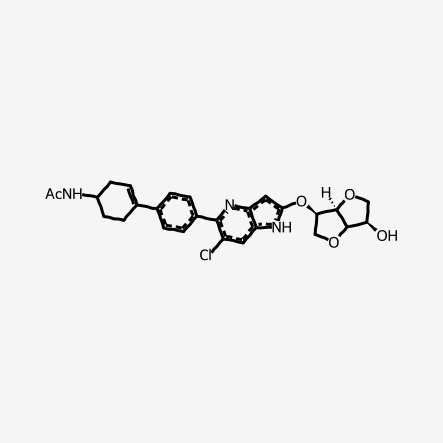 CC(=O)NC1CC=C(c2ccc(-c3nc4cc(O[C@@H]5COC6[C@H](O)CO[C@@H]65)[nH]c4cc3Cl)cc2)CC1